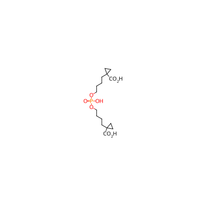 O=C(O)C1(CCCCOP(=O)(O)OCCCCC2(C(=O)O)CC2)CC1